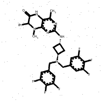 Cc1nc(N[C@H]2C[C@H](N(Cc3cc(F)c(F)c(F)c3)Cc3cc(F)c(F)c(F)c3)C2)nc2c1NC(=O)C(C(C)C)N2C